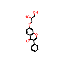 O=c1c(-c2ccccc2)coc2cc(OCC(O)CO)ccc12